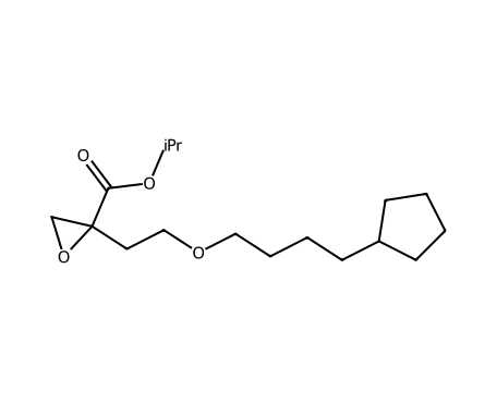 CC(C)OC(=O)C1(CCOCCCCC2CCCC2)CO1